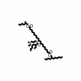 CCCCCCC(CCCC)COC(=O)CCCCCCCCC(CCCCCCCCC(=O)OCC(C)CCCC)N(CCCN(C)CC)C(=O)C(CC)CCCCC